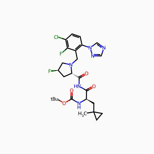 CC1(C[C@@H](NC(=O)OC(C)(C)C)C(=O)NC(=O)[C@@H]2C[C@@H](F)CN2Cc2c(-n3cncn3)ccc(Cl)c2F)CC1